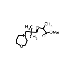 COC(=O)C(C)/N=C/C(C)(C)CN1CCCOCC1